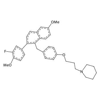 COc1ccc2c(Cc3ccc(OCCCN4CCCCC4)cc3)c(-c3ccc(OC)c(F)c3)ccc2c1